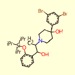 CC(C(O)c1ccccc1O[Si](C(C)C)(C(C)C)C(C)C)N1CCC(O)(c2cc(Br)cc(Br)c2)CC1